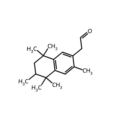 Cc1cc2c(cc1CC=O)C(C)(C)CC(C)C2(C)C